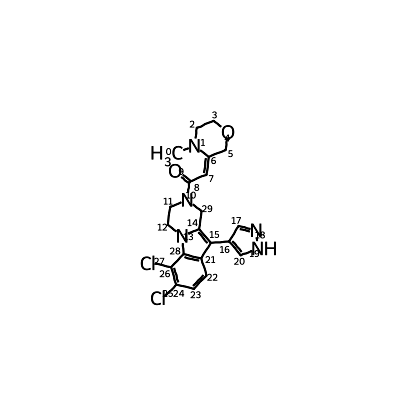 CN1CCOCC1=CC(=O)N1CCn2c(c(-c3cn[nH]c3)c3ccc(Cl)c(Cl)c32)C1